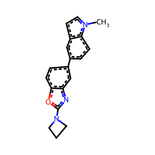 Cn1ccc2cc(-c3ccc4oc(N5CCC5)nc4c3)ccc21